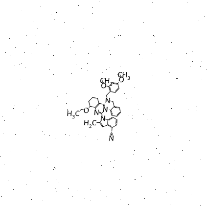 CCOC1CCCc2c1nc(-n1c(C)cc3c(C#N)cccc31)nc2N(Cc1ccccc1)Cc1ccc(OC)cc1OC